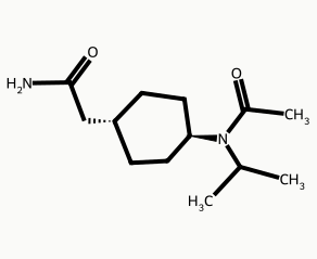 CC(=O)N(C(C)C)[C@H]1CC[C@H](CC(N)=O)CC1